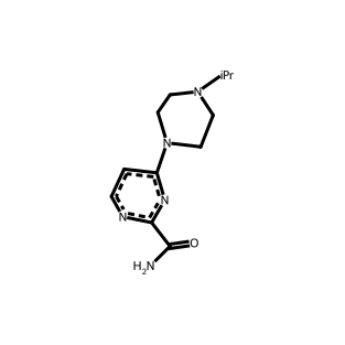 CC(C)N1CCN(c2ccnc(C(N)=O)n2)CC1